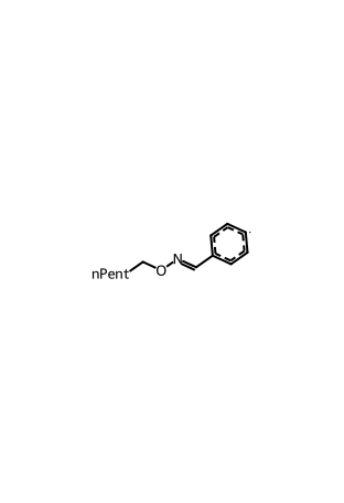 CCCCCCON=Cc1cc[c]cc1